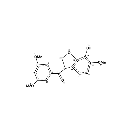 COc1cc(OC)cc(C(=O)C2COc3c2ccc(OC)c3O)c1